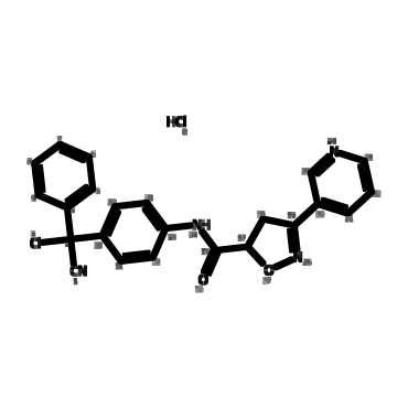 Cl.N#CC(Cl)(c1ccccc1)c1ccc(NC(=O)C2CC(c3cccnc3)=NO2)cc1